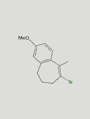 COc1ccc2c(c1)CCCC(Br)=C2C